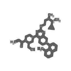 C=CC(=O)N1CCN(c2nc(OCCN(C)[C@H](C)C3CC3)nc3c2CCN(c2cccc4cccc(C)c24)C3)CC1CC#N